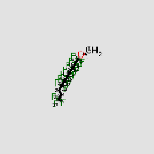 C=COC(F)(F)C(F)(F)C(F)(F)C(F)(F)C(F)(F)C(F)(F)C(F)(F)CCC(F)(F)F